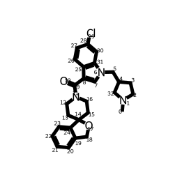 CN1CCC(Cn2cc(C(=O)N3CCC4(CC3)OCc3ccccc34)c3ccc(Cl)cc32)C1